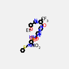 CCOc1cccc(-c2cnn(-c3cc(C(=O)N4CCN(c5ccc(C(=O)NS(=O)(=O)c6ccc(NCCSc7ccccc7)c([N+](=O)[O-])c6)nn5)CC4)cc(C(F)(F)F)c3)c2)c1